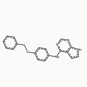 c1ccc(COc2ccc(Nc3ncnc4[nH]ccc34)cc2)cc1